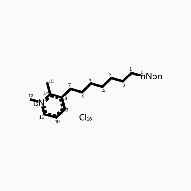 CCCCCCCCCCCCCCCCc1ccc[n+](C)c1C.[Cl-]